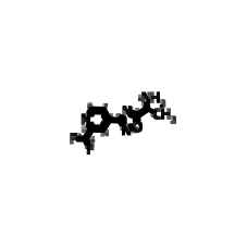 C[C@H](N)c1nc(-c2ccnc(C(F)F)c2)no1